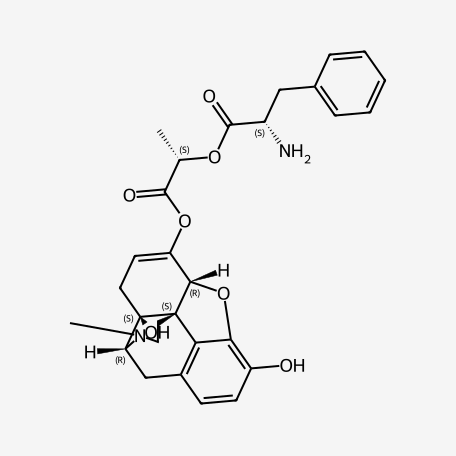 C[C@H](OC(=O)[C@@H](N)Cc1ccccc1)C(=O)OC1=CC[C@@]2(O)[C@H]3Cc4ccc(O)c5c4[C@@]2(CCN3C)[C@H]1O5